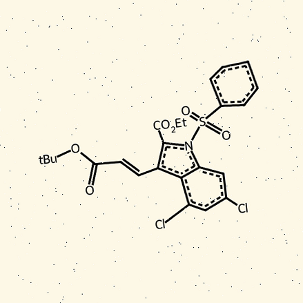 CCOC(=O)c1c(/C=C/C(=O)OC(C)(C)C)c2c(Cl)cc(Cl)cc2n1S(=O)(=O)c1ccccc1